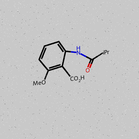 COc1cccc(NC(=O)C(C)C)c1C(=O)O